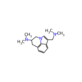 CN(C)Cc1cn2c3c(cccc13)CC(N(C)C)C2